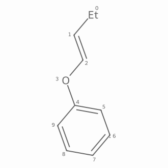 CCC=COc1c[c]ccc1